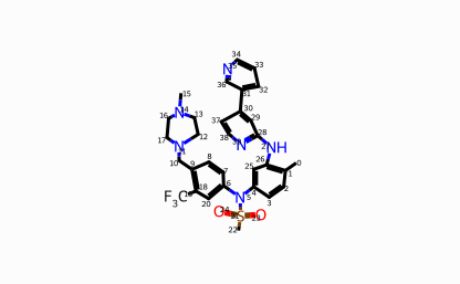 Cc1ccc(N(c2ccc(CN3CCN(C)CC3)c(C(F)(F)F)c2)S(C)(=O)=O)cc1Nc1cc(-c2cccnc2)ccn1